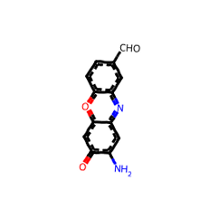 Nc1cc2nc3cc(C=O)ccc3oc-2cc1=O